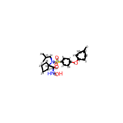 Cc1ccc(Oc2ccc(S(=O)(=O)N(CC(C)C)C3(C(=O)NO)CCCC3)cc2)cc1